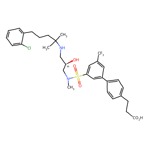 CN(C[C@H](O)CNC(C)(C)CCCc1ccccc1Cl)S(=O)(=O)c1cc(-c2ccc(CCC(=O)O)cc2)cc(C(F)(F)F)c1